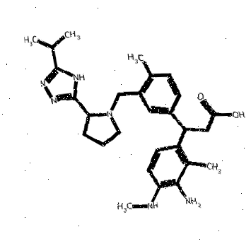 CNc1ccc(C(CC(=O)O)c2ccc(C)c(CN3CCCC3c3nnc(C(C)C)[nH]3)c2)c(C)c1N